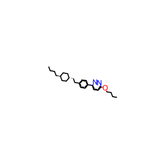 CCCCOc1ccc(-c2ccc(CC[C@H]3CC[C@H](CCCC)CC3)cc2)nn1